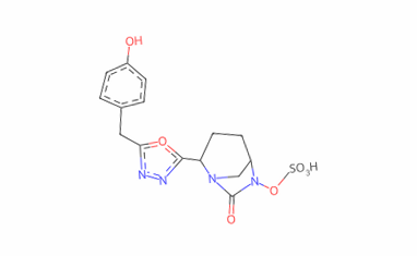 O=C1N2CC(CCC2c2nnc(Cc3ccc(O)cc3)o2)N1OS(=O)(=O)O